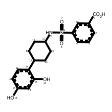 O=C(O)c1cccc(S(=O)(=O)NC2CCC(c3ccc(O)cc3O)CC2)c1